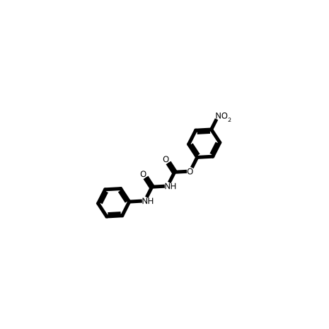 O=C(NC(=O)Oc1ccc([N+](=O)[O-])cc1)Nc1ccccc1